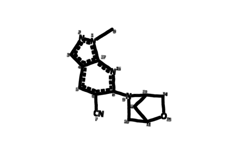 Cn1ncc2cc(C#N)c(N3CC4CC3CO4)nc21